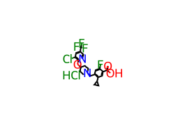 Cl.O=C(O)c1cc(C2CC2)c(CN2CCC(Oc3ncc(C(F)(F)F)cc3Cl)CC2)cc1F